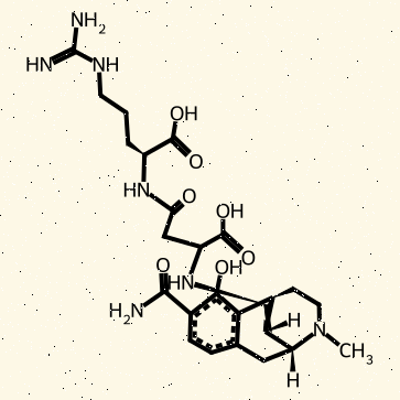 CN1CC[C@]23C[C@H](NC(CC(=O)N[C@@H](CCCNC(=N)N)C(=O)O)C(=O)O)CC[C@H]2[C@H]1Cc1ccc(C(N)=O)c(O)c13